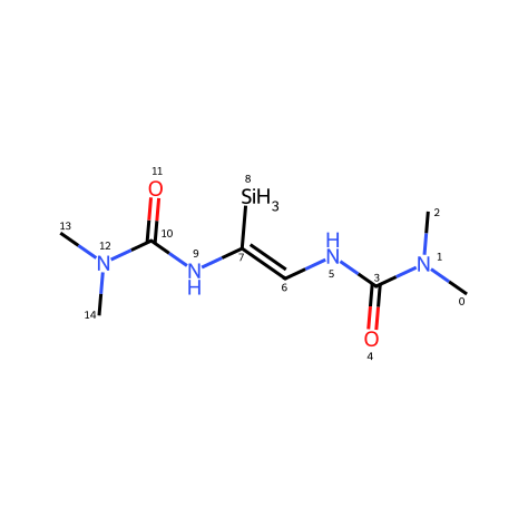 CN(C)C(=O)NC=C([SiH3])NC(=O)N(C)C